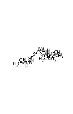 CC(C)CC(=O)Nc1nnc(CCSCCc2nnc(NC(=O)[C@@H](NC(=O)OC(C)(C)C)C(C)C)s2)s1